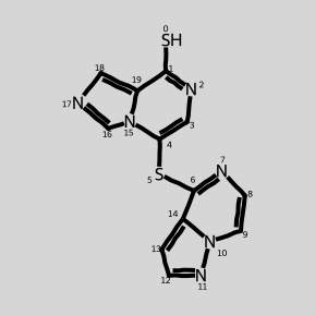 Sc1ncc(Sc2nccn3nccc23)n2cncc12